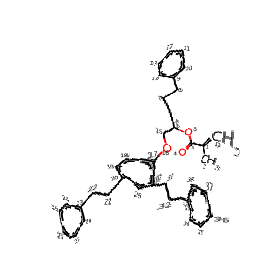 C=C(C)C(=O)OC(CCc1ccccc1)COc1ccc(CCc2ccccc2)cc1CCc1ccccc1